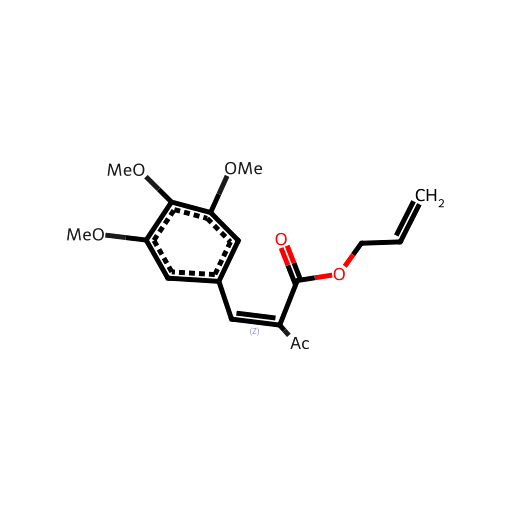 C=CCOC(=O)/C(=C\c1cc(OC)c(OC)c(OC)c1)C(C)=O